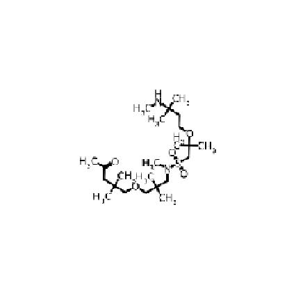 CNC(C)(C)CCOC(C)(C)CS(=O)(=O)N(C)CC(C)(C)COCC(C)(C)CC(C)=O